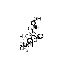 CC[C@H](Nc1cc(C)c(-c2sc(C(=O)N[C@@H]3CC[C@@H](O)C3)nc2C(=O)N2C3CCC2CC3)cn1)C(F)(F)F